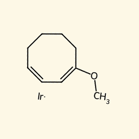 COC1=CC=CCCCC1.[Ir]